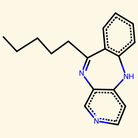 CCCCCC1=Nc2cnccc2Nc2ccccc21